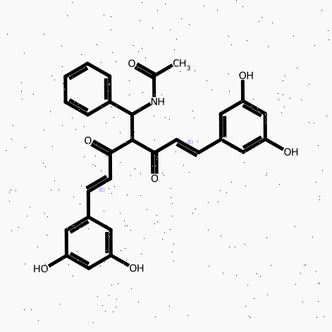 CC(=O)NC(c1ccccc1)C(C(=O)/C=C/c1cc(O)cc(O)c1)C(=O)/C=C/c1cc(O)cc(O)c1